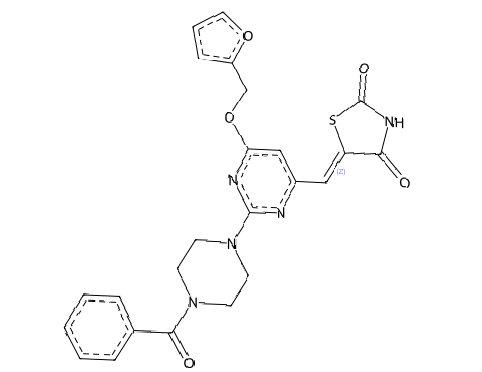 O=C1NC(=O)/C(=C/c2cc(OCc3ccco3)nc(N3CCN(C(=O)c4ccccc4)CC3)n2)S1